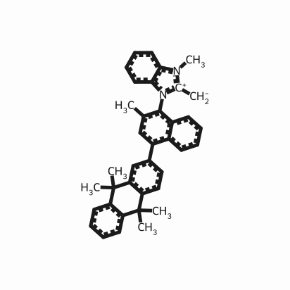 [CH2-][c+]1n(C)c2ccccc2n1-c1c(C)cc(-c2ccc3c(c2)C(C)(C)c2ccccc2C3(C)C)c2ccccc12